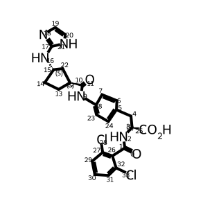 O=C(N[C@@H](Cc1ccc(NC(=O)[C@H]2CC[C@H](Nc3ncc[nH]3)C2)cc1)C(=O)O)c1c(Cl)cccc1Cl